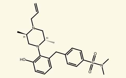 C=CCN1C[C@H](C)N(c2c(O)cccc2Cc2ccc(S(=O)(=O)N(C)C)cc2)C[C@H]1C